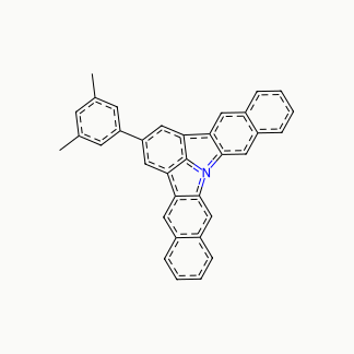 Cc1cc(C)cc(-c2cc3c4cc5ccccc5cc4n4c5cc6ccccc6cc5c(c2)c34)c1